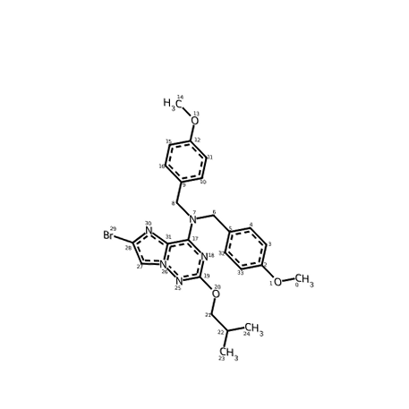 COc1ccc(CN(Cc2ccc(OC)cc2)c2nc(OCC(C)C)nn3cc(Br)nc23)cc1